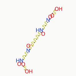 O=C(NCSCSC/N=C/[S+]([O-])CSCSCSCSC(=O)NCSCSC/N=C/OOCSCO)OCSCO